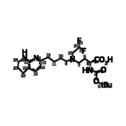 CC(C)(C)OC(=O)N[C@@H](CCN(CCCCc1ccc2c(n1)NCCC2)CC(F)F)C(=O)O